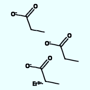 CCC(=O)[O-].CCC(=O)[O-].CCC(=O)[O-].[Er+3]